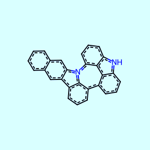 c1ccc2cc3c(cc2c1)c1cccc2c4cccc5[nH]c6cccc(c6c54)n3c21